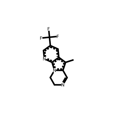 Cc1c2n(c3ncc(C(F)(F)F)cc13)CCN=C2